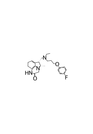 CCN(CCCOc1ccc(F)cc1)C[C@H]1C2=CCCC3=C2N(CC(=O)N3)[C@H]1C